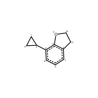 c1cc2c(c(C3CC3)c1)OCC2